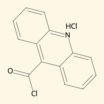 Cl.O=C(Cl)c1c2ccccc2nc2ccccc12